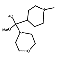 COC(O)(C1CCN(C)CC1)N1CCOCC1